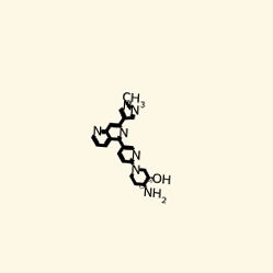 Cn1cc(-c2cc3ncccc3c(-c3ccc(N4CC[C@H](N)[C@@H](O)C4)nc3)n2)cn1